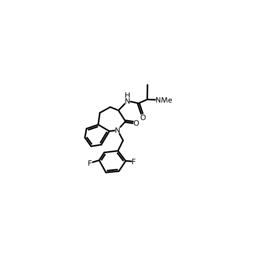 CNC(C)C(=O)NC1CCc2ccccc2N(Cc2cc(F)ccc2F)C1=O